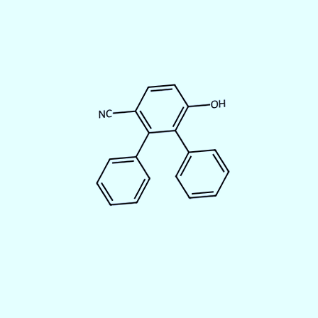 N#Cc1ccc(O)c(-c2ccccc2)c1-c1ccccc1